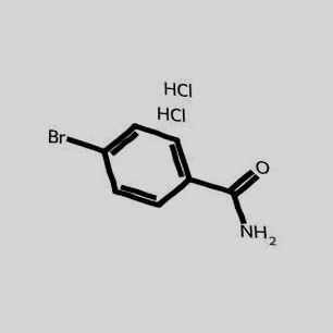 Cl.Cl.NC(=O)c1ccc(Br)cc1